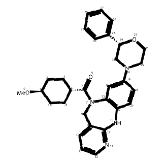 CO[C@H]1CC[C@H](C(=O)N2Cc3cccnc3Nc3ccc(N4CCO[C@@H](c5ccccc5)C4)cc32)CC1